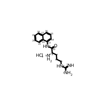 Cl.N=C(N)NCCC[C@H](N)C(=O)Nc1cccc2ccccc12